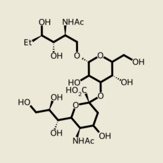 CC[C@@H](O)[C@@H](O)[C@H](CO[C@@H]1OC(CO)[C@H](O)C(O[C@]2(C(=O)O)CC(O)[C@@H](NC(C)=O)C([C@H](O)[C@H](O)CO)O2)C1O)NC(C)=O